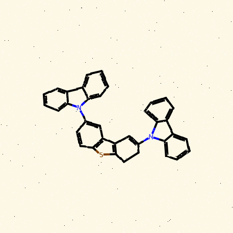 C1=C(n2c3ccccc3c3ccccc32)CCc2sc3ccc(-n4c5ccccc5c5ccccc54)cc3c21